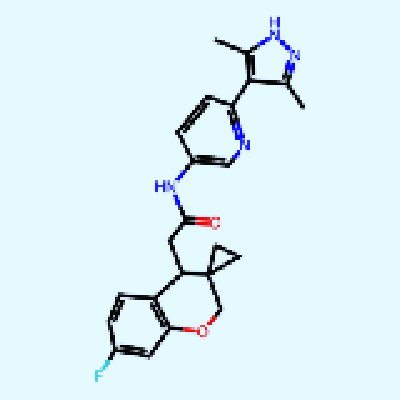 Cc1n[nH]c(C)c1-c1ccc(NC(=O)CC2c3ccc(F)cc3OCC23CC3)cn1